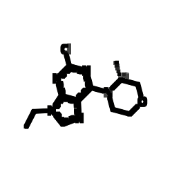 CCn1cnc2c(N3CCOC[C@H]3C)nc(Cl)nc21